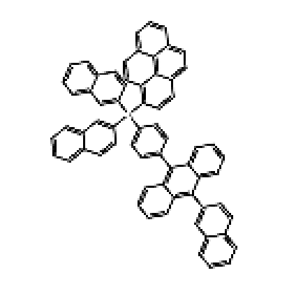 c1ccc2cc(-c3c4ccccc4c(-c4ccc([Si](c5ccc6ccccc6c5)(c5ccc6ccccc6c5)c5ccc6ccc7cccc8ccc5c6c78)cc4)c4ccccc34)ccc2c1